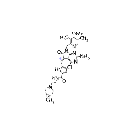 COc1c(C)cnc(CN2C(=O)/C(=C/c3ccc(C(=O)NCCN4CCN(C)CC4)[nH]3)c3c(Cl)nc(N)nc32)c1C